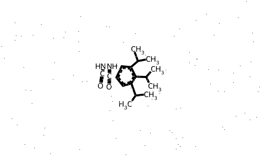 CC(C)c1cccc(C(C)C)c1C(C)C.N=C=O.N=C=O